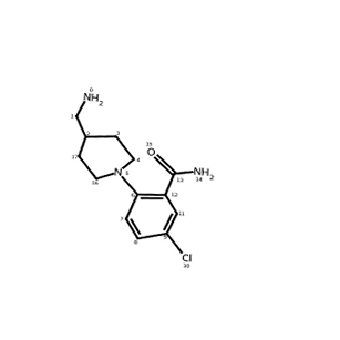 NCC1CCN(c2ccc(Cl)cc2C(N)=O)CC1